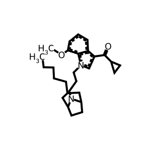 CCCCCC1CC2CCC(C1)N2CCCn1cc(C(=O)C2CC2)c2cccc(OC)c21